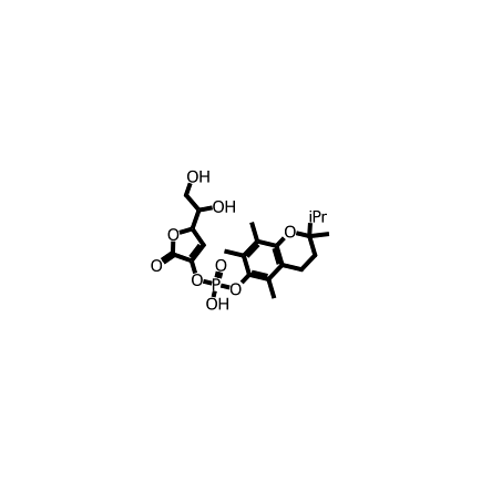 Cc1c(C)c2c(c(C)c1OP(=O)(O)OC1=CC(C(O)CO)OC1=O)CCC(C)(C(C)C)O2